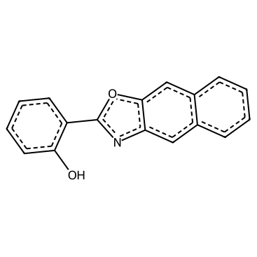 Oc1ccccc1-c1nc2cc3ccccc3cc2o1